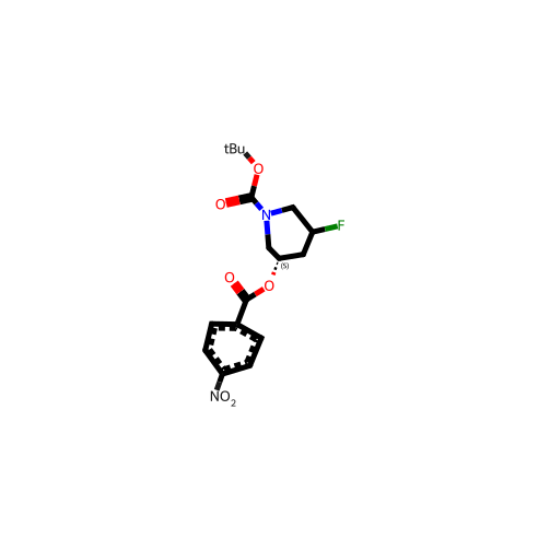 CC(C)(C)OC(=O)N1CC(F)C[C@H](OC(=O)c2ccc([N+](=O)[O-])cc2)C1